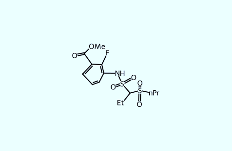 CCCS(=O)(=O)C(CC)S(=O)(=O)Nc1cccc(C(=O)OC)c1F